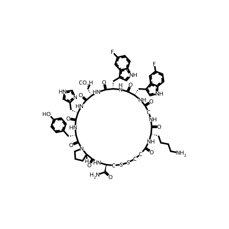 NCCCC[C@@H]1NC(=O)CCSSC[C@@H](C(N)=O)NC(=O)[C@@H]2CCCN2C(=O)[C@H](Cc2ccc(O)cc2)NC(=O)[C@H](Cc2c[nH]cn2)NC(=O)[C@H](CC(=O)O)NC(=O)[C@H](Cc2c[nH]c3ccc(F)cc23)NC(=O)[C@H](Cc2c[nH]c3ccc(F)cc23)NC(=O)CNC1=O